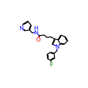 O=C(CCCc1cn(Cc2cccc(F)c2)c2ccccc12)NCc1cccnc1